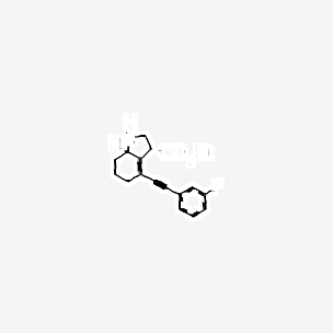 CCOC(=O)[C@@H]1CN[C@H]2CCCC(C#Cc3cccc(F)c3)=C12